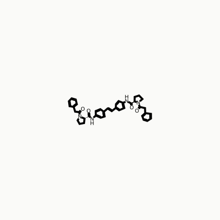 O=C(Nc1ccc(/C=C/c2ccc(NC(=O)[C@@H]3CCCN3C(=O)Cc3ccccc3)cc2)cc1)[C@H]1CCCN1C(=O)Cc1ccccc1